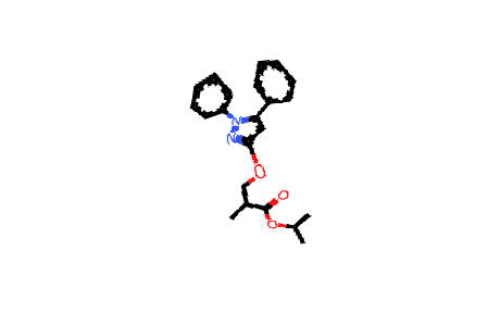 CC(C)OC(=O)C(C)COc1cc(-c2ccccc2)n(-c2ccccc2)n1